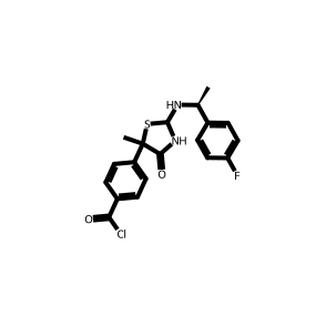 C[C@H](NC1NC(=O)C(C)(c2ccc(C(=O)Cl)cc2)S1)c1ccc(F)cc1